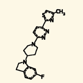 Cc1csc(-c2ccc(N3CCC(N4CCc5ccc(F)cc54)CC3)nn2)n1